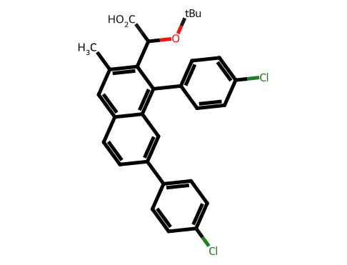 Cc1cc2ccc(-c3ccc(Cl)cc3)cc2c(-c2ccc(Cl)cc2)c1C(OC(C)(C)C)C(=O)O